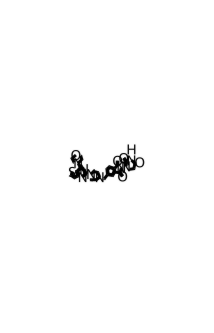 O=C1CCN(N2C(=O)c3ccc(CN4CCN(c5nc(N6CCOCC6)c6sccc6n5)CC4)cc3C2=O)C(=O)N1